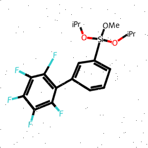 CO[Si](OC(C)C)(OC(C)C)c1cccc(-c2c(F)c(F)c(F)c(F)c2F)c1